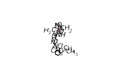 CCN(c1ccc(C(=O)NS(=O)(=O)c2c(C)noc2C)nn1)[C@@H](Cl)c1ccccc1OCC(C)C